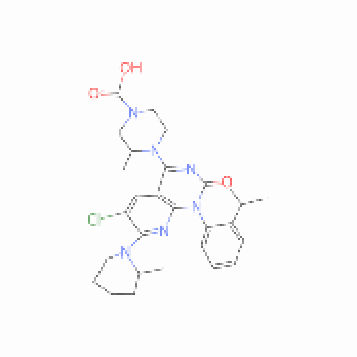 CC(C)c1ccccc1-n1c(=O)nc(N2CCN(C(=O)O)CC2C)c2cc(Cl)c(N3CCCCC3C)nc21